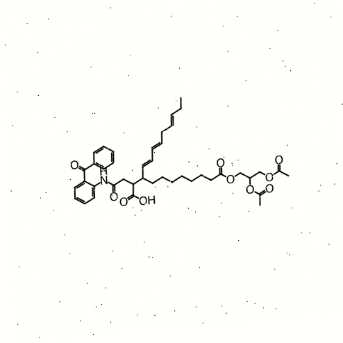 CC/C=C/C/C=C/C=C/C(CCCCCCCC(=O)OCC(COC(C)=O)OC(C)=O)C(CC(=O)Nc1ccccc1C(=O)c1ccccc1)C(=O)O